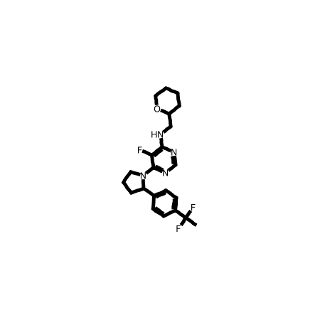 CC(F)(F)c1ccc(C2CCCN2c2ncnc(NCC3CCCCO3)c2F)cc1